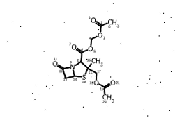 CC(=O)OCOC(=O)C1N2C(=O)CC2SC1(C)COC(C)=O